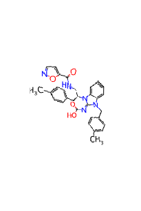 Cc1ccc(C[C@@H](CNC(=O)c2ccno2)n2c(=NC(=O)O)n(Cc3ccc(C)cc3)c3ccccc32)cc1